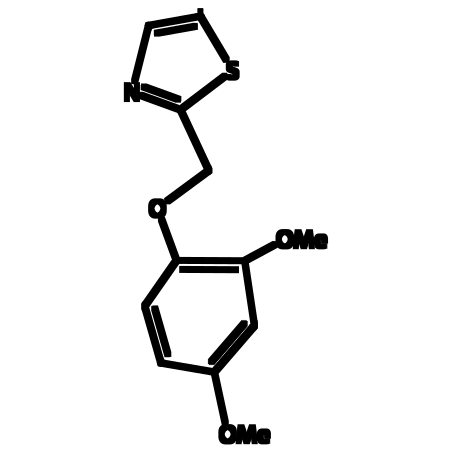 COc1ccc(OCc2nc[c]s2)c(OC)c1